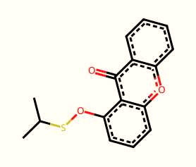 CC(C)SOc1cccc2oc3ccccc3c(=O)c12